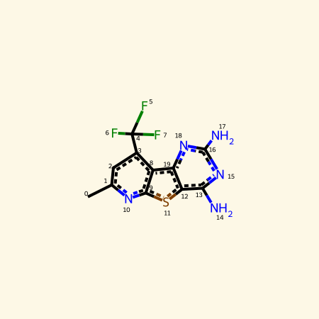 Cc1cc(C(F)(F)F)c2c(n1)sc1c(N)nc(N)nc12